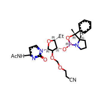 CC[C@H]1O[C@@H](n2ccc(NC(C)=O)nc2=O)C(OCOCCC#N)[C@H]1O[P@@]1O[C@](C)(c2ccccc2)[C@@H]2CCCN21